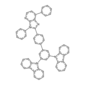 c1ccc(-c2ccnc3c2nc(-c2ccc(-c4cc(-n5c6ccccc6c6ccccc65)cc(-n5c6ccccc6c6ccccc65)c4)cc2)n3-c2ccccc2)cc1